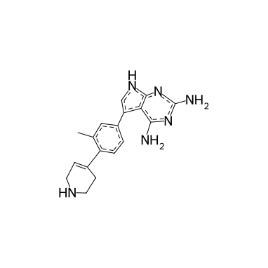 Cc1cc(-c2c[nH]c3nc(N)nc(N)c23)ccc1C1=CCNCC1